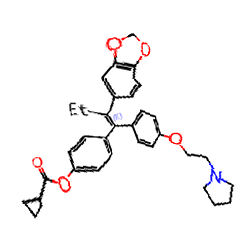 CC/C(=C(/c1ccc(OCCN2CCCC2)cc1)c1ccc(OC(=O)C2CC2)cc1)c1ccc2c(c1)OCO2